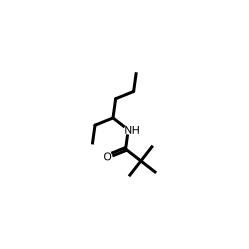 CCCC(CC)NC(=O)C(C)(C)C